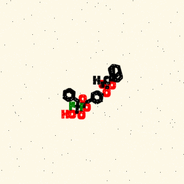 CC1(OC(=O)Oc2ccc(C(=O)OC(c3ccccc3)C(F)(F)C(=O)O)cc2)C2CC3CC(C2)CC1C3